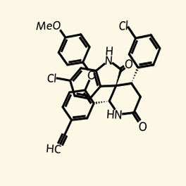 C#Cc1ccc(Oc2ccc(OC)cc2)c([C@H]2NC(=O)C[C@@H](c3cccc(Cl)c3)[C@]23C(=O)Nc2cc(Cl)ccc23)c1